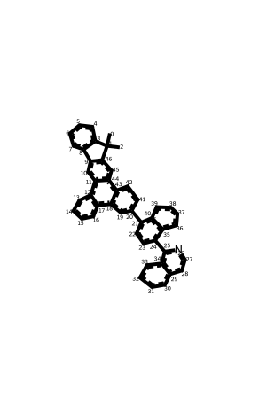 CC1(C)c2ccccc2-c2cc3c4ccccc4c4cc(-c5ccc(-c6nccc7ccccc67)c6ccccc56)ccc4c3cc21